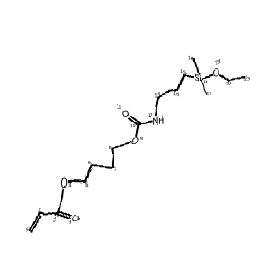 C=CC(=O)OCCCCOC(=O)NCCC[Si](C)(C)OCC